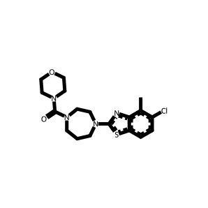 Cc1c(Cl)ccc2sc(N3CCCN(C(=O)N4CCOCC4)CC3)nc12